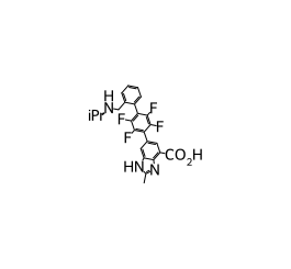 Cc1nc2c(C(=O)O)cc(-c3c(F)c(F)c(-c4ccccc4CNC(C)C)c(F)c3F)cc2[nH]1